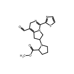 COC(=O)C1CCCN1C1CC2=C(C=O)CN=C(c3nccs3)N2C1